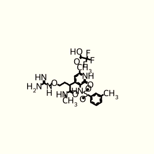 CNC(=O)C(CCONC(=N)N)c1cc(C)[nH]c(=O)c1NS(=O)(=O)c1cccc(C)c1.O=C(O)C(F)(F)F